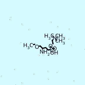 CCOC[C@H](N)CCP(=O)(O)OCC[N+](C)(C)C